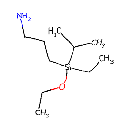 CCO[Si](CC)(CCCN)C(C)C